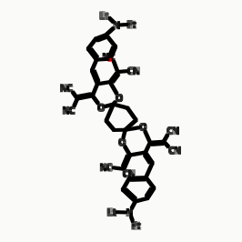 CCN(CC)c1ccc(C=C2C(=C(C#N)C#N)OC3(CCC4(CC3)OC(=C(C#N)C#N)C(=Cc3ccc(N(CC)CC)cc3)C(=C(C#N)C#N)O4)OC2=C(C#N)C#N)cc1